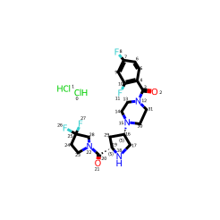 Cl.Cl.O=C(c1ccc(F)cc1F)N1CCN([C@@H]2CN[C@H](C(=O)N3CCC(F)(F)C3)C2)CC1